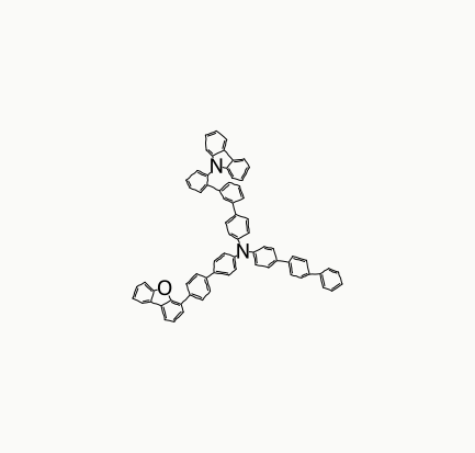 c1ccc(-c2ccc(-c3ccc(N(c4ccc(-c5ccc(-c6cccc7c6oc6ccccc67)cc5)cc4)c4ccc(-c5cccc(-c6ccccc6-n6c7ccccc7c7ccccc76)c5)cc4)cc3)cc2)cc1